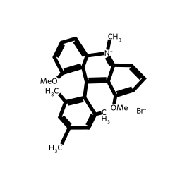 COc1cccc2c1c(-c1c(C)cc(C)cc1C)c1c(OC)cccc1[n+]2C.[Br-]